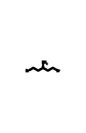 PN(CCBr)CCBr